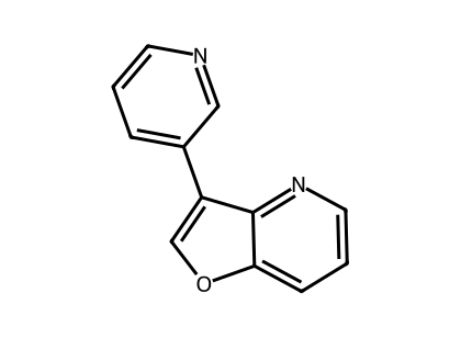 c1cncc(-c2coc3cccnc23)c1